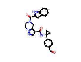 O=Cc1ccc(C2(NC(=O)c3cnn4c3CN(C(=O)c3cc5ccccc5[nH]3)CC4)CC2)cc1